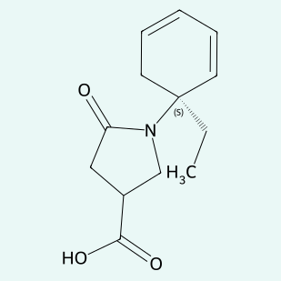 CC[C@@]1(N2CC(C(=O)O)CC2=O)C=CC=CC1